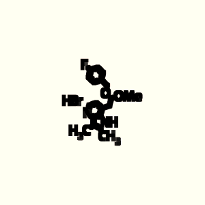 Br.COC(Cc1ccnc2c(C)c(C)[nH]c12)OCc1ccc(F)cc1